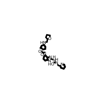 O=C(NCc1ccccn1)Nc1nc2cc(OS(=O)(=O)c3ccc(NCC4CCCO4)cc3)ccc2[nH]1